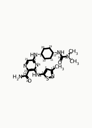 Cc1cc(Nc2nc(N[C@H]3CC[C@@H](NC(=O)N(C)C)CC3)cnc2C(N)=O)sn1